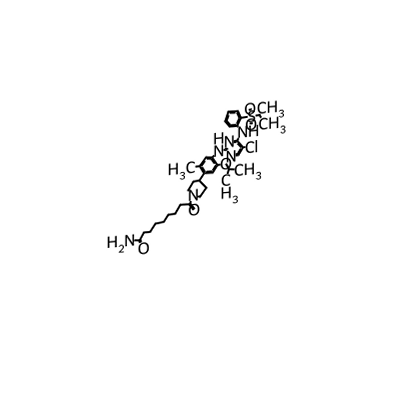 Cc1cc(Nc2ncc(Cl)c(Nc3ccccc3S(=O)(=O)C(C)C)n2)c(OC(C)C)cc1C1CCN(C(=O)CCCCCCCC(N)=O)CC1